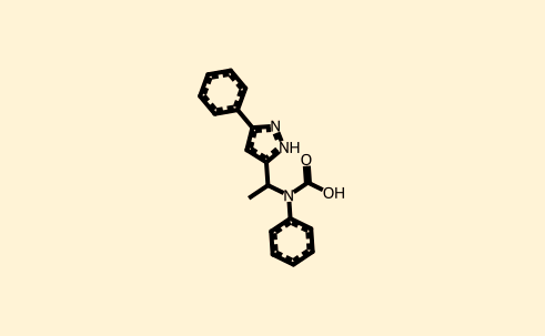 CC(c1cc(-c2ccccc2)n[nH]1)N(C(=O)O)c1ccccc1